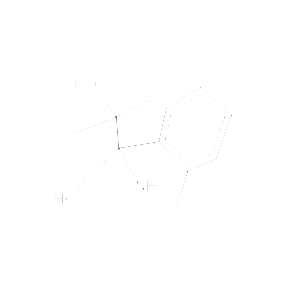 CC(C)(O)C(N)(CO)c1ccccc1I